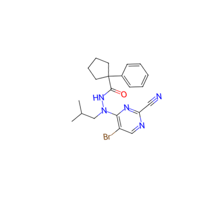 CC(C)CN(NC(=O)C1(c2ccccc2)CCCC1)c1nc(C#N)ncc1Br